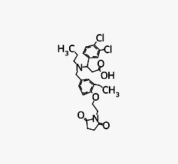 CCCN(Cc1ccc(OCCN2C(=O)CCC2=O)c(CC)c1)C(CC(=O)O)c1ccc(Cl)c(Cl)c1